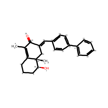 CC1=C2CCC[C@H](O)[C@@]2(C)CC(=Cc2ccc(-c3ccccc3)cc2)C1=O